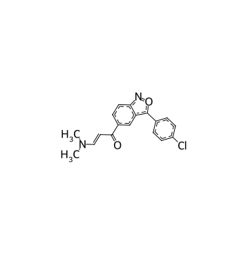 CN(C)C=CC(=O)c1ccc2noc(-c3ccc(Cl)cc3)c2c1